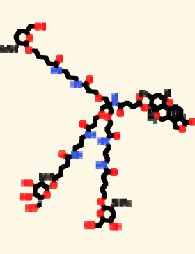 CC(=O)N[C@H]1[C@H](OCCCCC(=O)NCCCNC(=O)CCOCC(COCCC(=O)NCCCNC(=O)CCCCO[C@@H]2O[C@H](CO)CC[C@H]2NC(C)=O)(COCCC(=O)NCCCNC(=O)CCCCO[C@@H]2O[C@H](CO)[C@H](O)C[C@H]2NC(C)=O)NC(=O)CCC(=O)O[C@@H]2C(C(C)C)C[C@@H]3O[C@@]34[C@@]3(C)CCC5=C(COC5=O)C3CO[C@]24C)O[C@H](CO)[C@H](O)[C@@H]1O